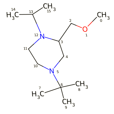 COCC1CN(C(C)(C)C)CCN1C(C)C